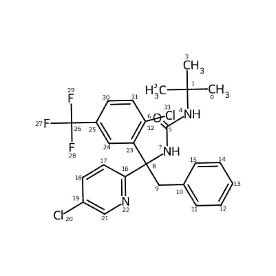 CC(C)(C)NC(=O)NC(Cc1ccccc1)(c1ccc(Cl)cn1)c1cc(C(F)(F)F)ccc1Cl